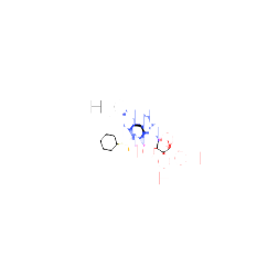 CCNc1nc(SC2CCCCC2)nc2c1ncn2[C@@H]1O[C@H](CO)[C@@H](O)[C@H]1O